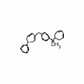 CN(c1ccc(CC2=CCC(c3ccccc3)CC=C2)cc1)C1CC=CC=CC1